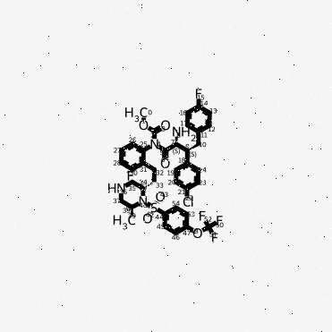 COC(=O)N(C(=O)[C@@H](N)[C@@H](Cc1ccc(F)cc1)c1ccc(Cl)cc1)c1cccc(F)c1CC[C@H]1CNC[C@H](C)N1S(=O)(=O)c1ccc(OC(F)(F)F)cc1